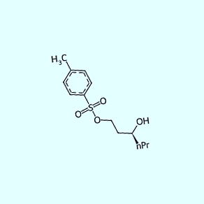 CCC[C@H](O)CCOS(=O)(=O)c1ccc(C)cc1